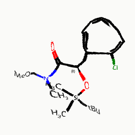 CON(C)C(=O)[C@H](O[Si](C)(C)C(C)(C)C)c1ccccc1Cl